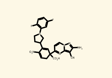 N#Cc1c(N)nn2ccc(C3(C(=O)O)C=C(C4CCN(c5cc(F)ccc5F)C4)C([N+](=O)[O-])=CC3)nc12